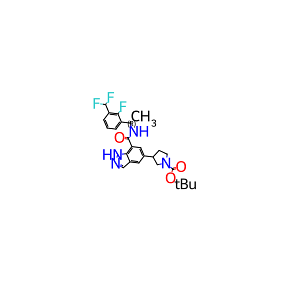 C[C@@H](NC(=O)c1cc(C2CCN(C(=O)OC(C)(C)C)C2)cc2cn[nH]c12)c1cccc(C(F)F)c1F